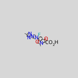 Cc1cnc(N2CCN(c3c(F)cc4c(=O)c(C(=O)O)cn5c4c3OC[C@@H]5C)CC2)nc1